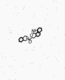 NC(=O)c1c(C[CH]C(=O)N2CCc3ccccc3C2)ccc2ccccc12